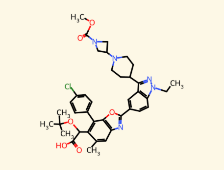 CCn1nc(C2CCN(C3CN(C(=O)OC)C3)CC2)c2cc(-c3nc4cc(C)c(C(OC(C)(C)C)C(=O)O)c(-c5ccc(Cl)cc5)c4o3)ccc21